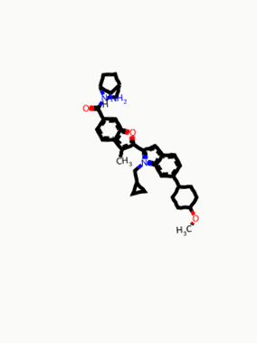 COC1CCC(c2ccc3cc(-c4oc5cc(C(=O)N6CC7CCC6[C@@H]7N)ccc5c4C)n(CC4CC4)c3c2)CC1